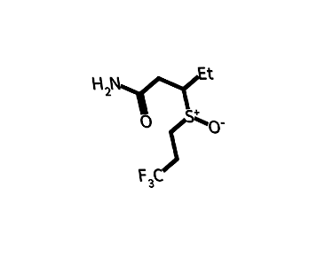 CCC(CC(N)=O)[S+]([O-])CCC(F)(F)F